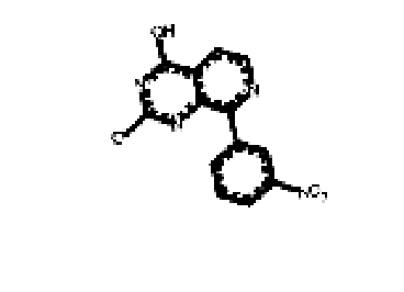 O=[N+]([O-])c1cccc(-c2nccc3c(O)nc(Cl)nc23)c1